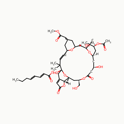 CCC/C=C/C=C/C(=O)O[C@H]1C2=CC(=O)O[C@H]2[C@H]2C[C@H](CO)OC(=O)C[C@H](O)C[C@@H]3C[C@H](OC(C)=O)C(C)(C)[C@](O)(C[C@@H]4C/C(=C/C(=O)OC)C[C@H](/C=C/C(C)(C)[C@]1(O)O2)O4)O3